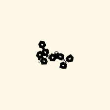 c1ccc(-c2ccc(N(c3ccc4c(c3)oc3ccc(N(c5ccccc5)c5ccccc5)cc34)c3cccc4sc5ccccc5c34)cc2)cc1